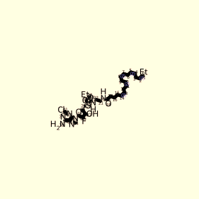 CC/C=C\C/C=C\C/C=C\C/C=C\C/C=C\CCCC(=O)NCCNP(=O)(OCC)OC[C@H]1OC(n2cnc3c(N)nc(Cl)nc32)[C@@H](F)[C@@H]1O